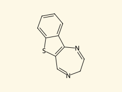 C1=NCC=Nc2c1sc1ccccc21